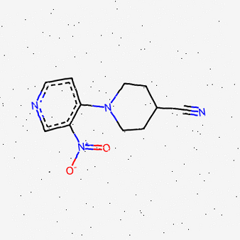 N#CC1CCN(c2ccncc2[N+](=O)[O-])CC1